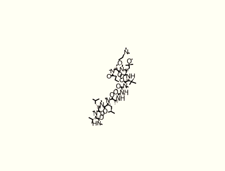 CCCC(=O)N(C)[C@H](COCCCN(C)C)C(=O)N(C)[C@@H](CC(C)(C)OC)C(=O)N[C@@H](C(=O)N(C)C(=O)NC(=O)N[C@H](C)C(=O)N(C)[C@@H](CC(C)C)C(=O)N(C)[C@@H](CC(C)C)C(=O)N(C)[C@H](C(=O)NC)C(C)C)C(C)(C)C